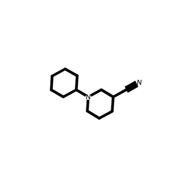 N#CC1CCCN(C2CCCCC2)C1